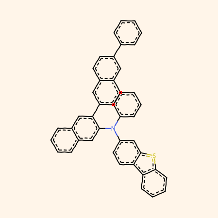 c1ccc(-c2ccc3cc(-c4cc5ccccc5cc4N(c4ccccc4)c4ccc5c(c4)sc4ccccc45)ccc3c2)cc1